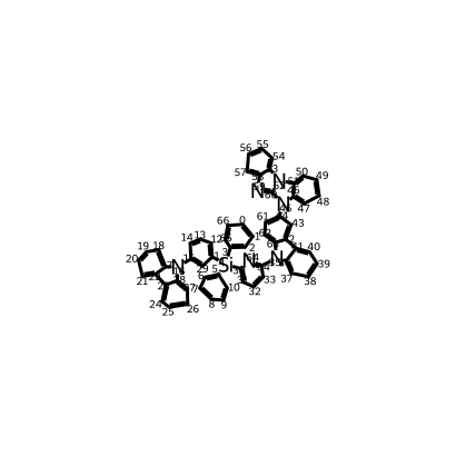 c1ccc([Si](c2ccccc2)(c2cccc(-n3c4ccccc4c4ccccc43)c2)c2cccc(-n3c4ccccc4c4cc(-n5c6ccccc6n6c7ccccc7nc56)ccc43)n2)cc1